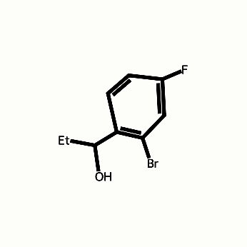 CCC(O)c1ccc(F)cc1Br